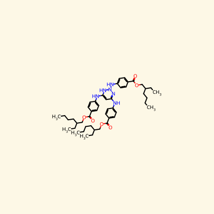 CCCCC(CC)COC(=O)c1ccc(NC2=CC(Nc3ccc(C(=O)OCC(CC)CCCC)cc3)=NN(Nc3ccc(C(=O)OCC(CC)CCCC)cc3)N2)cc1